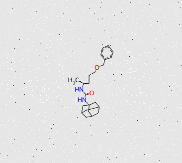 C[C@@H](CCCOCc1ccccc1)NC(=O)NC12CC3CC(CC(C3)C1)C2